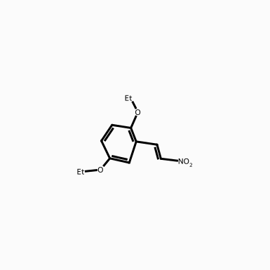 CCOc1ccc(OCC)c(/C=C/[N+](=O)[O-])c1